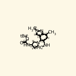 Cc1cc(NC=O)c(N2CCC(NC(=O)OC(C)(C)C)C2)c2cn(C)nc12